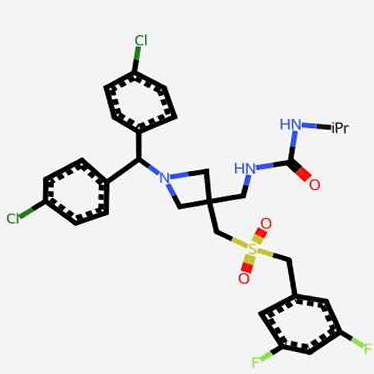 CC(C)NC(=O)NCC1(CS(=O)(=O)Cc2cc(F)cc(F)c2)CN(C(c2ccc(Cl)cc2)c2ccc(Cl)cc2)C1